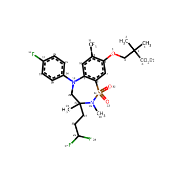 CCOC(=O)C(C)(C)COc1cc2c(cc1C(F)(F)F)N(c1ccc(F)cc1)CC(C)(CCC(F)F)N(C)S2(=O)=O